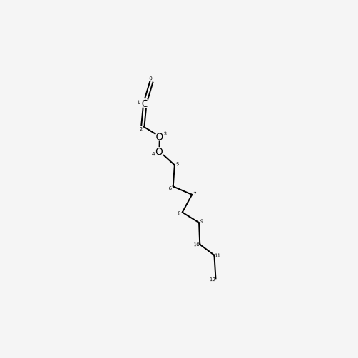 C=C=COOCCCCCCCC